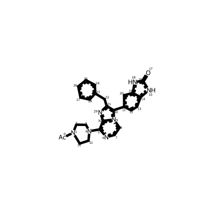 CC(=O)N1CCN(c2nccn3c(-c4ccc5[nH]c(=O)[nH]c5c4)c(Cc4ccccc4)nc23)CC1